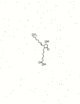 CCCCCC/C=C/[C@@H]1C(CCCCCCC(=O)O)C(=O)C[C@H]1O